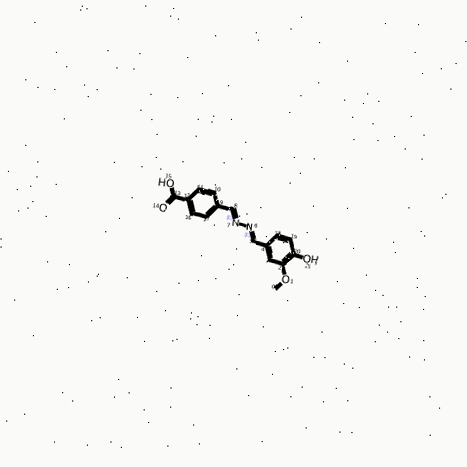 COc1cc(/C=N/N=C/c2ccc(C(=O)O)cc2)ccc1O